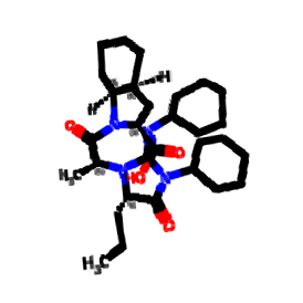 CCC[C@H]1C(=O)N(C2CCCCC2)C(=NC2CCCCC2)N1[C@@H](C)C(=O)N1[C@H](C(=O)O)C[C@@H]2CCCC[C@@H]21